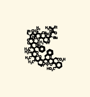 CC[C@H](N)C(=O)N[C@H](C(=O)N(C)[C@@H](CC(C)C)C(=O)N(C)[C@@H](C)C(=O)N(C)[C@@H](CC(C)C)C(=O)N[C@H](C(=O)N(C)[C@@H](Cc1ccccc1)C(=O)N(C)[C@@H](C)C(=O)N(C)[C@@H](CC(C)C)C(=O)N(C)[C@@H](Cc1ccccc1)C(=O)N[C@@H](CC(=O)O)C(=O)N1CCCC[C@H]1C(=O)O)[C@@H](C)O)[C@@H](C)CC